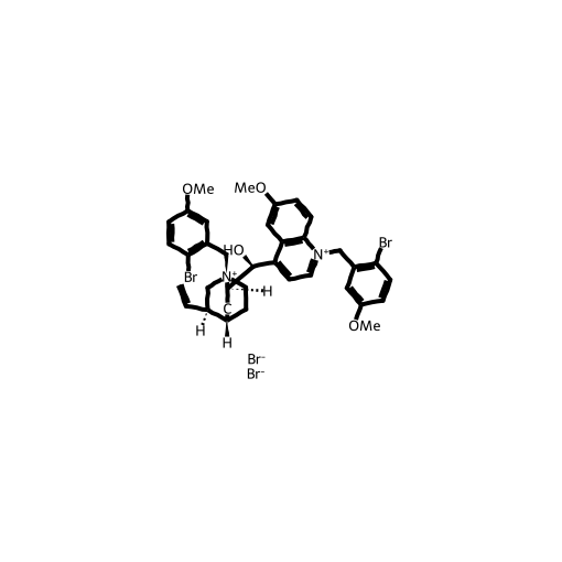 C=C[C@H]1C[N@+]2(Cc3cc(OC)ccc3Br)CC[C@H]1C[C@@H]2[C@@H](O)c1cc[n+](Cc2cc(OC)ccc2Br)c2ccc(OC)cc12.[Br-].[Br-]